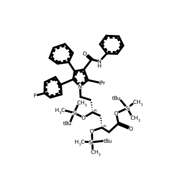 CC(C)c1c(C(=O)Nc2ccccc2)c(-c2ccccc2)c(-c2ccc(F)cc2)n1CC[C@H](C[C@H](CC(=O)O[Si](C)(C)C(C)(C)C)O[Si](C)(C)C(C)(C)C)O[Si](C)(C)C(C)(C)C